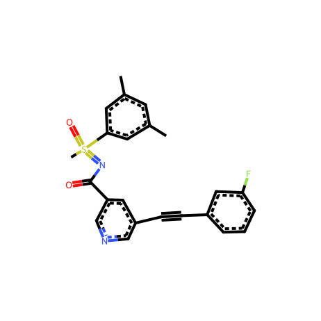 Cc1cc(C)cc(S(C)(=O)=NC(=O)c2cncc(C#Cc3cccc(F)c3)c2)c1